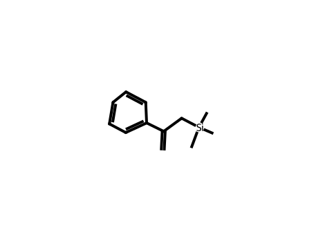 C=C(C[Si](C)(C)C)c1ccccc1